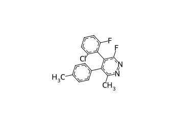 Cc1ccc(-c2c(C)nnc(F)c2-c2c(F)cccc2Cl)cc1